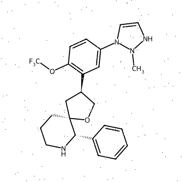 CN1NC=CN1c1ccc(OC(F)(F)F)c([C@H]2CO[C@]3(CCCN[C@H]3c3ccccc3)C2)c1